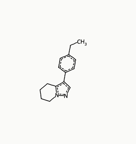 CCc1ccc(-c2cnn3c2CCCC3)cc1